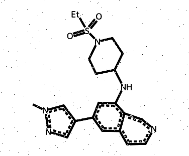 CCS(=O)(=O)N1CCC(Nc2cc(-c3cnn(C)c3)cc3ccncc23)CC1